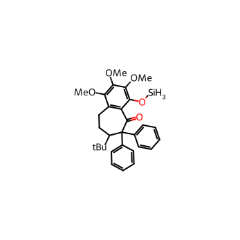 COc1c2c(c(O[SiH3])c(OC)c1OC)C(=O)C(c1ccccc1)(c1ccccc1)C(C(C)(C)C)CC2